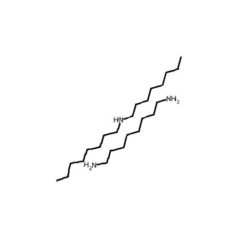 CCCCCCCCNCCCCCCCC.NCCCCCCCCN